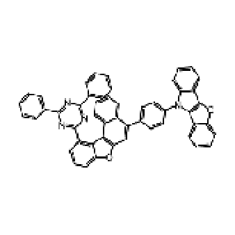 c1ccc(-c2nc(-c3ccccc3)nc(-c3cccc4oc5cc(-c6ccc(-n7c8ccccc8c8oc9ccccc9c87)cc6)c6ccccc6c5c34)n2)cc1